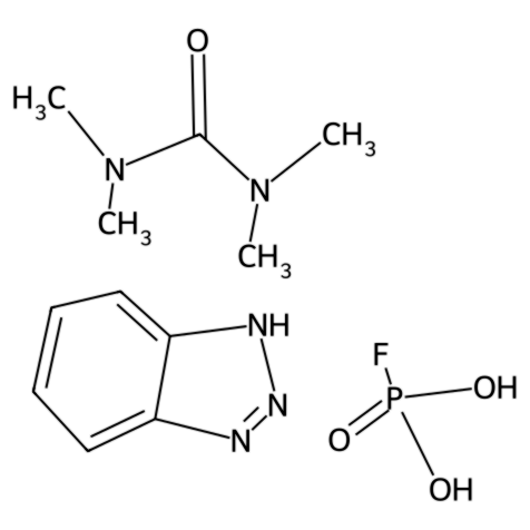 CN(C)C(=O)N(C)C.O=P(O)(O)F.c1ccc2[nH]nnc2c1